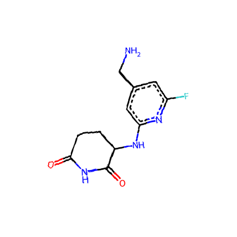 NCc1cc(F)nc(NC2CCC(=O)NC2=O)c1